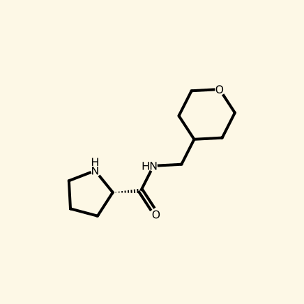 O=C(NCC1CCOCC1)[C@@H]1CCCN1